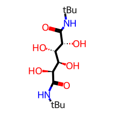 CC(C)(C)NC(=O)[C@@H](O)[C@H](O)[C@H](O)[C@@H](O)C(=O)NC(C)(C)C